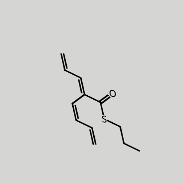 C=C/C=C\C(=C/C=C)C(=O)SCCC